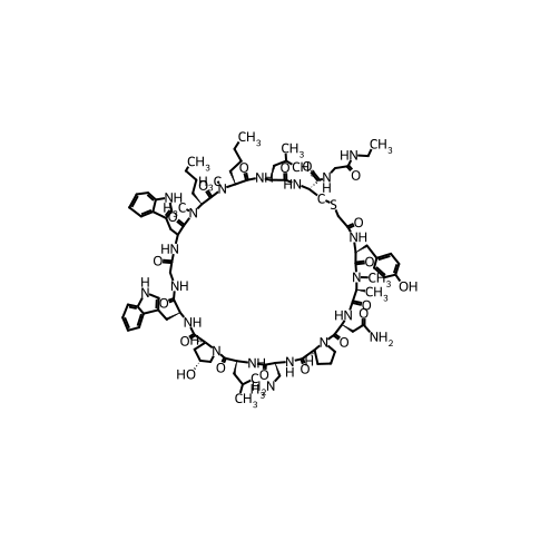 CCCC[C@H]1C(=O)N(C)[C@@H](CCCC)C(=O)N[C@@H](CC(C)C)C(=O)N[C@H](C(=O)NCC(=O)NCC)CSCC(=O)N[C@@H](Cc2ccc(O)cc2)C(=O)N(C)[C@@H](C)C(=O)N[C@@H](CC(N)=O)C(=O)N2CCC[C@H]2C(=O)N[C@@H](CN)C(=O)N[C@@H](CC(C)C)C(=O)N2C[C@H](O)C[C@H]2C(=O)N[C@@H](Cc2c[nH]c3ccccc23)C(=O)NCC(=O)NC(Cc2c[nH]c3ccccc23)C(=O)N1C